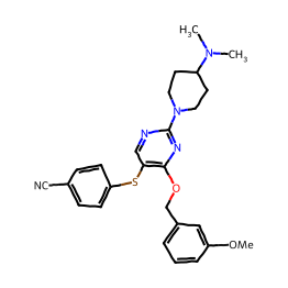 COc1cccc(COc2nc(N3CCC(N(C)C)CC3)ncc2Sc2ccc(C#N)cc2)c1